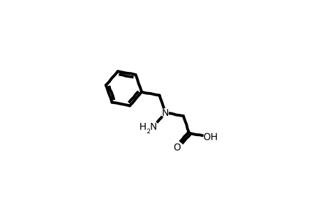 NN(CC(=O)O)Cc1ccccc1